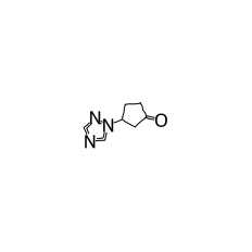 O=C1CCC(n2cncn2)C1